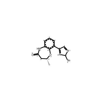 CC(C)C1N=CC(c2cccc3c2O[C@H](C)CC(=O)N3)=N1